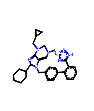 CN1C=C2C(=NC(C3CCCCC3)N2Cc2ccc(-c3ccccc3-c3nnn[nH]3)cc2)N(CC2CC2)C1